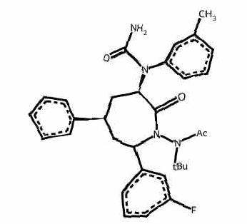 CC(=O)N(N1C(=O)[C@H](N(C(N)=O)c2cccc(C)c2)C[C@H](c2ccccc2)CC1c1cccc(F)c1)C(C)(C)C